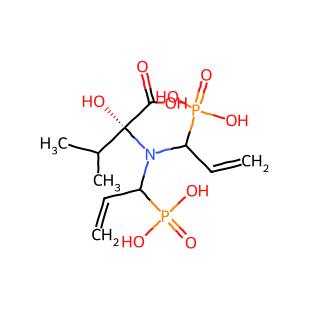 C=CC(N(C(C=C)P(=O)(O)O)[C@](O)(C(=O)O)C(C)C)P(=O)(O)O